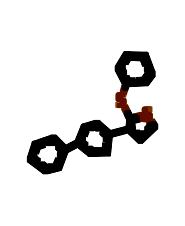 c1ccc(Sc2sccc2-c2ccc(-c3ccccc3)cc2)cc1